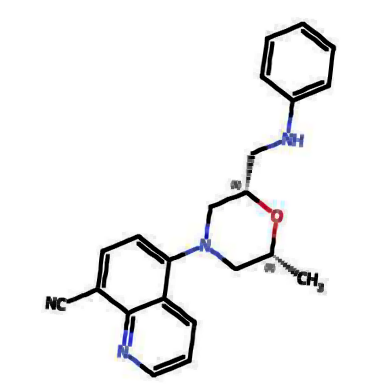 C[C@@H]1CN(c2ccc(C#N)c3ncccc23)C[C@H](CNc2ccccc2)O1